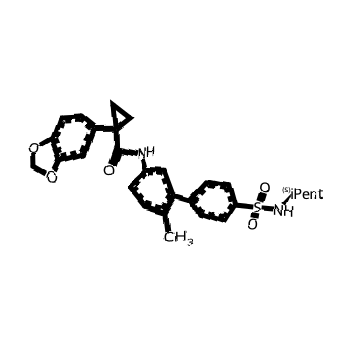 CCC[C@H](C)NS(=O)(=O)c1ccc(-c2cc(NC(=O)C3(c4ccc5c(c4)OCO5)CC3)ccc2C)cc1